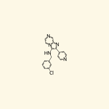 Clc1cccc(CNc2c(-c3ccncc3)nc3cnccn23)c1